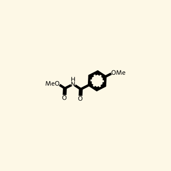 COC(=O)NC(=O)c1ccc(OC)cc1